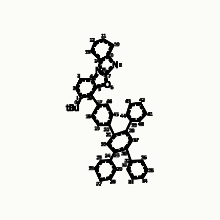 CC(C)(C)c1ccc2c(oc3nc4ccccc4n32)c1-c1ccc(-c2cc(-c3ccccc3)c(-c3ccccc3)cc2-c2ccccc2)cc1